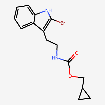 O=C(NCCc1c(Br)[nH]c2ccccc12)OCC1CC1